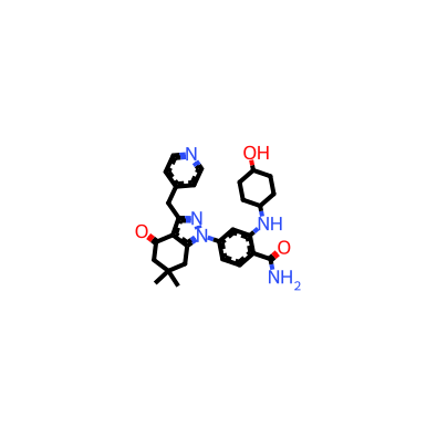 CC1(C)CC(=O)c2c(Cc3ccncc3)nn(-c3ccc(C(N)=O)c(NC4CCC(O)CC4)c3)c2C1